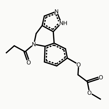 CCC(=O)N1Cc2cn[nH]c2-c2cc(OCC(=O)OC)ccc21